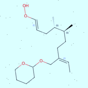 C/C=C(/CC[C@H](C)[C@@H](C)C/C=C/OO)COC1CCCCO1